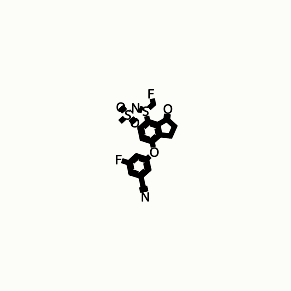 CS(=O)(=O)/N=S(/CF)c1ccc(Oc2cc(F)cc(C#N)c2)c2c1C(=O)CC2